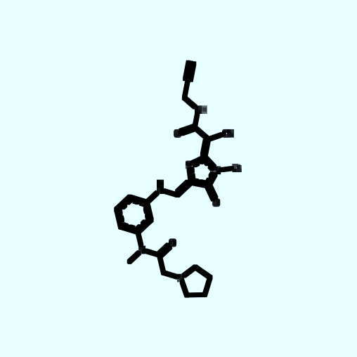 C#CCNC(=O)C(C#N)=c1sc(=CNc2cccc(N(C)C(=O)CN3CCCC3)c2)c(=O)n1CC